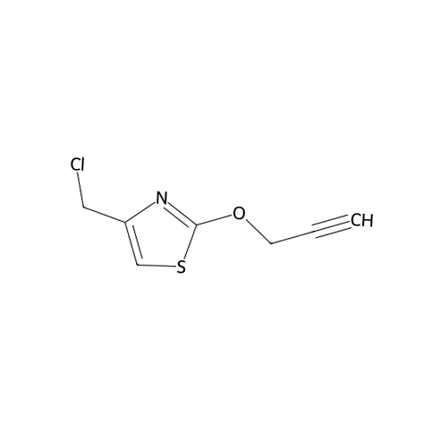 C#CCOc1nc(CCl)cs1